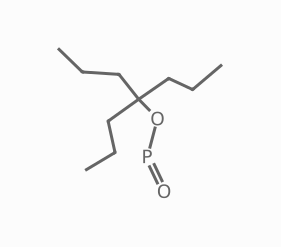 CCCC(CCC)(CCC)OP=O